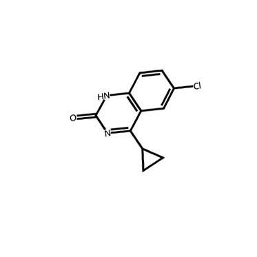 O=c1nc(C2CC2)c2cc(Cl)ccc2[nH]1